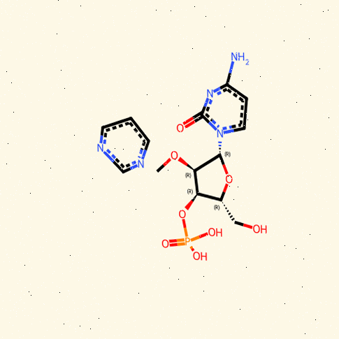 CO[C@@H]1[C@H](OP(=O)(O)O)[C@@H](CO)O[C@H]1n1ccc(N)nc1=O.c1cncnc1